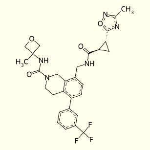 Cc1noc([C@@H]2C[C@H]2C(=O)NCc2ccc(-c3cccc(C(F)(F)F)c3)c3c2CN(C(=O)NC2(C)COC2)CC3)n1